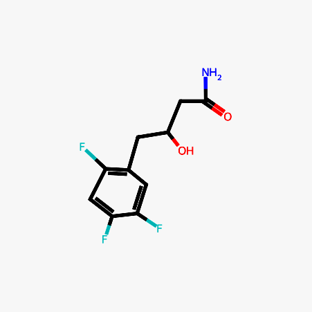 NC(=O)CC(O)Cc1cc(F)c(F)cc1F